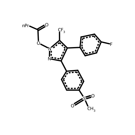 CCCC(=O)On1nc(-c2ccc(S(C)(=O)=O)cc2)c(-c2ccc(F)cc2)c1C(F)(F)F